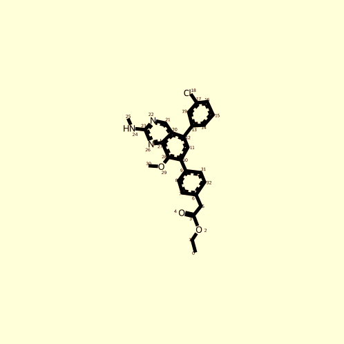 CCOC(=O)Cc1ccc(-c2cc(-c3cccc(Cl)c3)c3cnc(NC)nc3c2OC)cc1